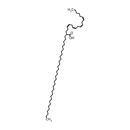 CCCCC/C=C\C/C=C\C/C=C\C/C=C\CCC(CCCCCCCCCCCCCCCCCCCCCCCCCCCCCCCCCC)C(=O)O